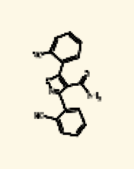 N#Cc1ccccc1-c1nsc(-c2ccccc2C#N)c1C(N)=O